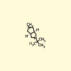 CN1C[C@@H]2CN(C(C)(C)C)C[C@@H]2C1